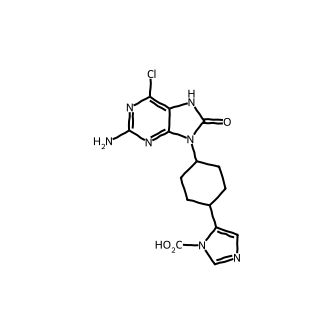 Nc1nc(Cl)c2[nH]c(=O)n(C3CCC(c4cncn4C(=O)O)CC3)c2n1